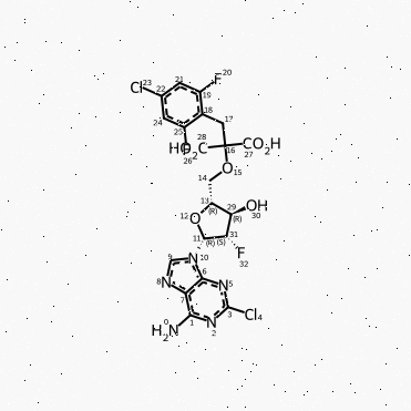 Nc1nc(Cl)nc2c1ncn2[C@@H]1O[C@H](COC(Cc2c(F)cc(Cl)cc2F)(C(=O)O)C(=O)O)[C@@H](O)[C@@H]1F